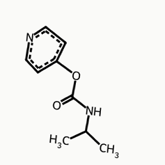 CC(C)NC(=O)Oc1ccncc1